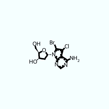 Nc1ncnc2c1c(Cl)c(Br)n2[C@@H]1C[C@H](O)[C@@H](CO)O1